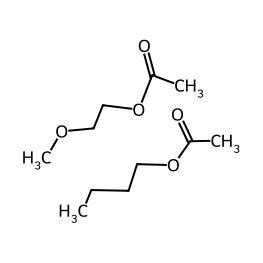 CCCCOC(C)=O.COCCOC(C)=O